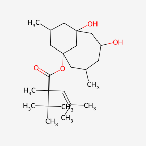 CC(C)=CC(C)(C(=O)OC12CC(C)CC(O)CC(O)(CC(C)C1)C2)C(C)(C)C